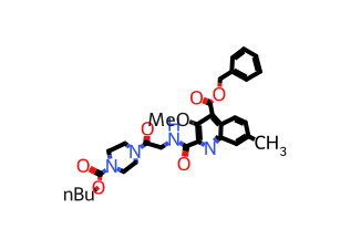 CCCCOC(=O)N1CCN(C(=O)CNC(=O)c2nc3cc(C)ccc3c(C(=O)OCc3ccccc3)c2OC)CC1